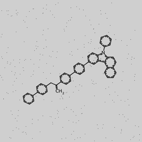 C=C(Cc1ccc(-c2ccccc2)cc1)c1ccc(-c2ccc(-c3ccc4c(c3)c3c5ccccc5ccc3n4-c3ccccc3)cc2)cc1